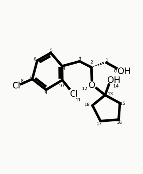 OC[C@@H](Cc1ccc(Cl)cc1Cl)OC1(O)CCCC1